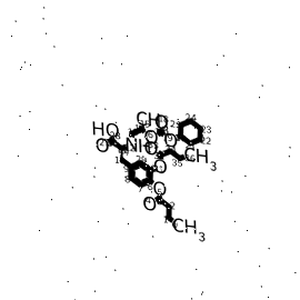 CCCC(=O)Oc1ccc(C[C@H](NCC(C)OC(=O)OC2CCCCC2)C(=O)O)cc1OC(=O)CCC